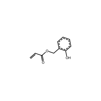 C=CC(=O)OCc1ccccc1O